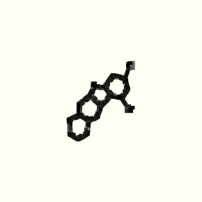 Clc1cc(Br)c2c(c1)sc1cc3ccccc3cc12